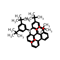 CC(C)(C)c1cc(N(c2cc(C(C)(C)C)cc(C(C)(C)C)c2)c2ccccc2-c2cccc3cccc(-c4ccccc4)c23)cc(C(C)(C)C)c1